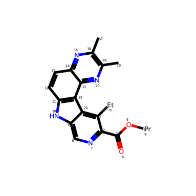 CCc1c(C(=O)OC(C)C)ncc2[nH]c3ccc4nc(C)c(C)nc4c3c12